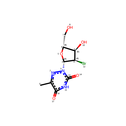 Cc1nn([C@@H]2O[C@H](CO)[C@@H](O)[C@H]2Br)c(=O)[nH]c1=O